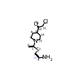 C=C(S/C=C\N)N1CCC(C(=O)CCl)CC1